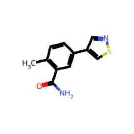 Cc1ccc(-c2cnsc2)cc1C(N)=O